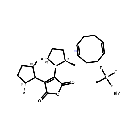 C1=C\CC/C=C\CC/1.C[C@@H]1CC[C@@H](C)P1C1=C(P2[C@H](C)CC[C@H]2C)C(=O)OC1=O.F[B-](F)(F)F.[Rh+]